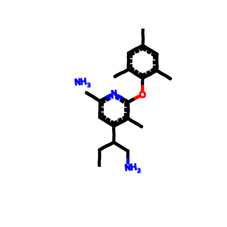 CCC(CN)c1cc(C)nc(Oc2c(C)cc(C)cc2C)c1C.N